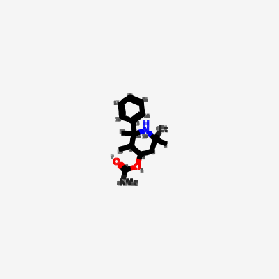 CCC1(C)CC(OC(=O)NC)C(C)C(C)(c2ccccc2)N1